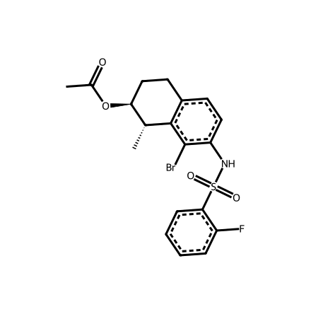 CC(=O)O[C@H]1CCc2ccc(NS(=O)(=O)c3ccccc3F)c(Br)c2[C@@H]1C